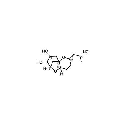 [C-]#[N+][C@H](C)C[C@H]1CC[C@@H]2O[C@@H]3C[C@]2(C[C@@H](O)C3O)O1